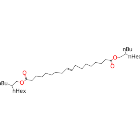 CCCCCCC(CCCC)COC(=O)CCCCCCC/C=C/CCCCCCCC(=O)OCC(CCCC)CCCCCC